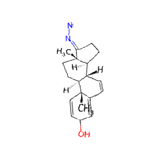 C[C@]12C=CC(O)C=C1C=C[C@@H]1[C@@H]2CC[C@]2(C)C(=N[N])CC[C@@H]12